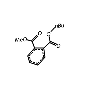 CCCCOC(=O)c1ccccc1C(=O)OC